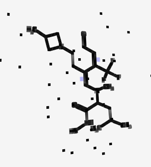 CC(C)CC(C(=O)NS)N(C)/C=C(CCN1CC(C)C1)\C(=C/C=O)C(F)(F)F